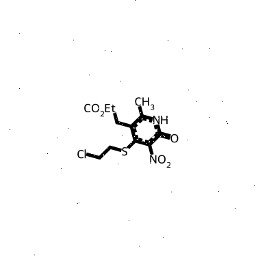 CCOC(=O)Cc1c(C)[nH]c(=O)c([N+](=O)[O-])c1SCCCl